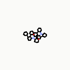 c1ccc(-c2cccc(-n3c4ccccc4c4cc(-c5ccccc5-n5c6ccccc6c6ccccc65)ccc43)c2-c2ccccc2)cc1